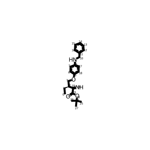 CC[C@@H](COc1ccc(NCc2ccccc2)cc1)C(=N)C(=O)OC(C)(C)C